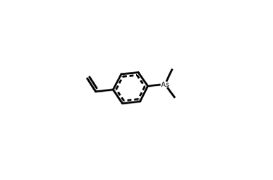 C=Cc1ccc([As](C)C)cc1